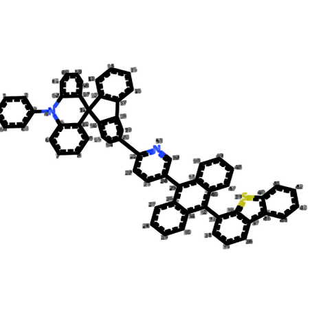 c1ccc(N2c3ccccc3C3(c4ccccc4-c4cc(-c5ccc(-c6c7ccccc7c(-c7cccc8c7sc7ccccc78)c7ccccc67)cn5)ccc43)c3ccccc32)cc1